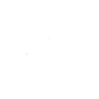 CN[C@@H]1C(=O)N[C@@H](C)C(=O)N[C@H](C(=O)OC)Cc2ccc(O)c(c2)-c2cc1ccc2O